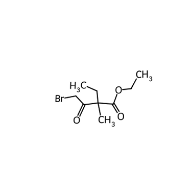 CCOC(=O)C(C)(CC)C(=O)CBr